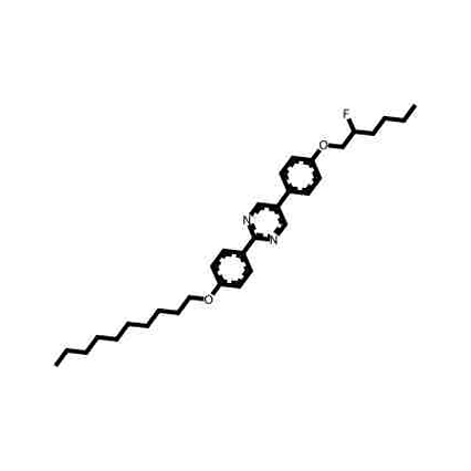 CCCCCCCCCCOc1ccc(-c2ncc(-c3ccc(OCC(F)CCCC)cc3)cn2)cc1